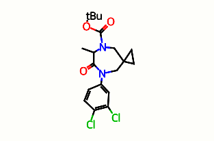 CC1C(=O)N(c2ccc(Cl)c(Cl)c2)CC2(CC2)CN1C(=O)OC(C)(C)C